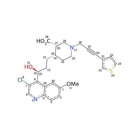 COc1ccc2ncc(Cl)c([C@@H](O)CC[C@H]3CCN(CC#Cc4ccsc4)C[C@H]3C(=O)O)c2c1